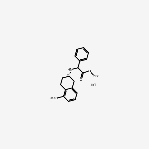 CCCOC(=O)C(N[C@H]1CCc2c(cccc2OC)C1)c1ccccc1.Cl